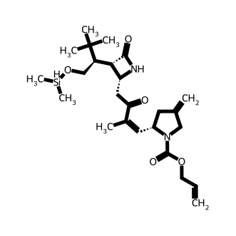 C=CCOC(=O)N1CC(=C)C[C@H]1C=C(C)C(=O)C[C@H]1NC(=O)[C@H]1[C@@H](CO[SiH](C)C)C(C)(C)C